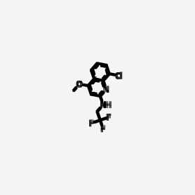 COc1cc(NCC(F)(F)F)nc2c(Cl)cccc12